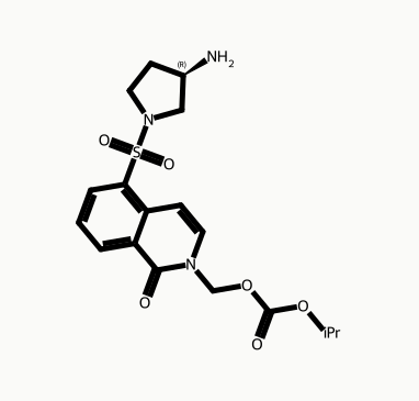 CC(C)OC(=O)OCn1ccc2c(S(=O)(=O)N3CC[C@@H](N)C3)cccc2c1=O